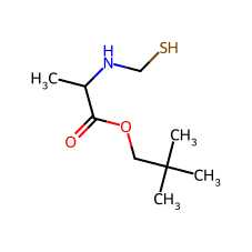 CC(NCS)C(=O)OCC(C)(C)C